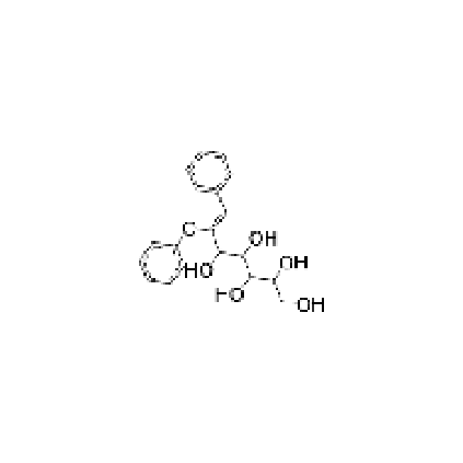 OCC(O)C(O)C(O)C(O)C(=Cc1ccccc1)Oc1ccccc1